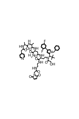 CC(NC(=O)Cc1ccncc1)C(=O)NC(C)C(=O)NC(CC(=O)NC(CCN(C(=O)CO)C(c1cc(-c2cc(F)ccc2F)cn1Cc1ccccc1)C(C)(C)C)C(=O)NCCNC(=O)CN1C(=O)C=CC1=O)C(N)=O